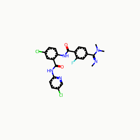 C/N=C(\c1ccc(C(=O)Nc2ccc(Cl)cc2C(=O)Nc2ccc(Cl)cn2)c(F)c1)N(C)C